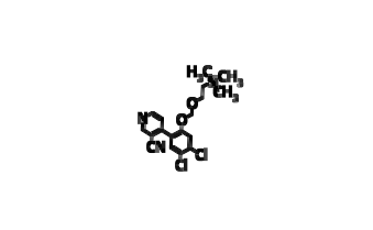 C[Si](C)(C)CCOCOc1cc(Cl)c(Cl)cc1-c1ccncc1C#N